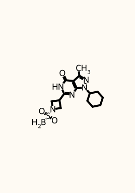 BS(=O)(=O)N1CC(c2nc3c(c(C)nn3C3CCCCC3)c(=O)[nH]2)C1